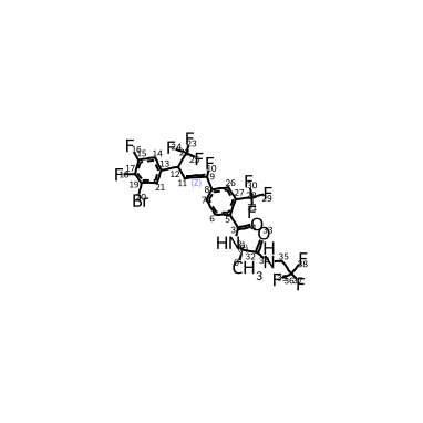 C[C@@H](NC(=O)c1ccc(/C(F)=C/C(c2cc(F)c(F)c(Br)c2)C(F)(F)F)cc1C(F)(F)F)C(=O)NCC(F)(F)F